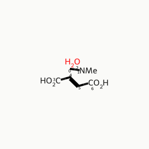 CNC.O.O=C(O)/C=C/C(=O)O